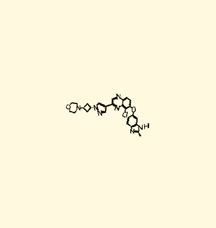 Cc1nc2ccc(Oc3ccc4ncc(-c5cnn([C@H]6C[C@H](N7CCOCC7)C6)c5)nc4c3Cl)cc2[nH]1